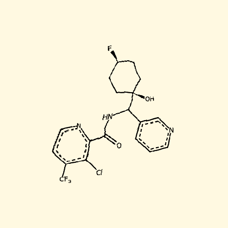 O=C(NC(c1cccnc1)[C@]1(O)CC[C@@H](F)CC1)c1nccc(C(F)(F)F)c1Cl